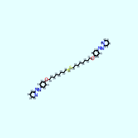 c1ccc(/N=N/c2ccc(OCCCCCCCCSSCCCCCCCCOc3ccc(/N=N/c4ccccn4)cc3)cc2)nc1